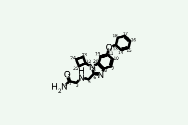 NC(=O)CNCc1nc2ccc(OC3C=CC=CC3)cc2n1C1CCC1